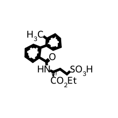 CCOC(=O)[C@H](CCS(=O)(=O)O)NC(=O)c1ccccc1-c1ccccc1C